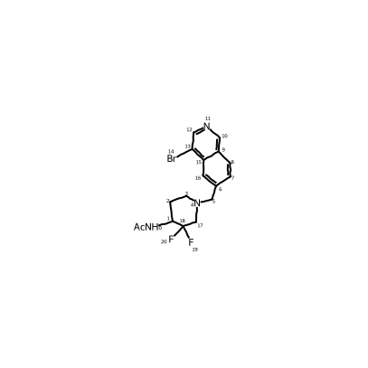 CC(=O)NC1CCN(Cc2ccc3cncc(Br)c3c2)CC1(F)F